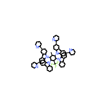 Cc1c(-n2c3ccc(-c4ccccn4)cc3c3cc(-c4ccccn4)ccc32)c(-n2c3ccccc3c3ccccc32)c(C(F)(F)F)c(-n2c3ccccc3c3ccccc32)c1-n1c2ccc(-c3ccccn3)cc2c2cc(-c3ccccn3)ccc21